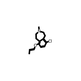 CC=COc1ccc(Cl)c2c1CCN(C)CC2